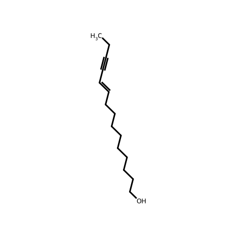 CCC#CC=CCCCCCCCCCO